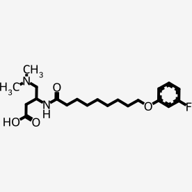 CN(C)CC(CC(=O)O)NC(=O)CCCCCCCCOc1cccc(F)c1